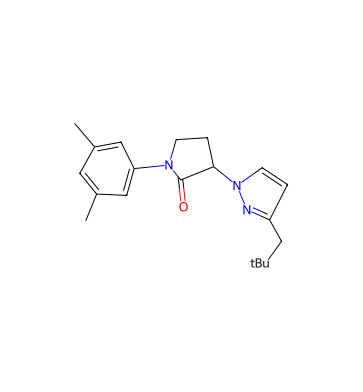 Cc1cc(C)cc(N2CCC(n3ccc(CC(C)(C)C)n3)C2=O)c1